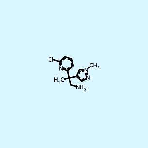 Cn1cc(C(C)(CN)c2cccc(Cl)n2)cn1